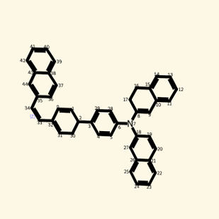 C1=CC(c2ccc(N(C3=Cc4ccccc4CC3)c3ccc4ccccc4c3)cc2)CC=C1/C=C\c1ccc2ccccc2c1